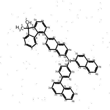 CC1(C)c2ccccc2-c2c(-c3ccc4cc(N(c5ccc(-c6cccc7ccccc67)cc5)c5ccc6ccccc6c5)ccc4c3)cccc21